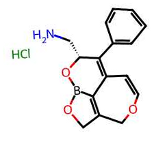 Cl.NC[C@H]1OB2OCC3=C2C(=C1c1ccccc1)C=COC3